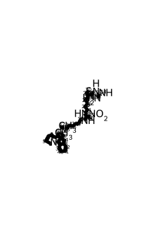 CC(c1ccccn1)C1(CCN(C)CCCCCCNC(=C[N+](=O)[O-])NCCSCc2csc(NC(=N)N)n2)C=c2ccccc2=C1